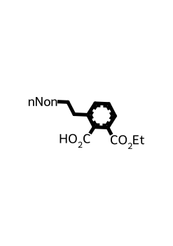 CCCCCCCCCCCc1cccc(C(=O)OCC)c1C(=O)O